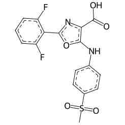 CS(=O)(=O)c1ccc(Nc2oc(-c3c(F)cccc3F)nc2C(=O)O)cc1